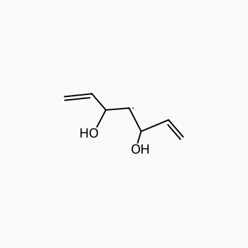 C=CC(O)[CH]C(O)C=C